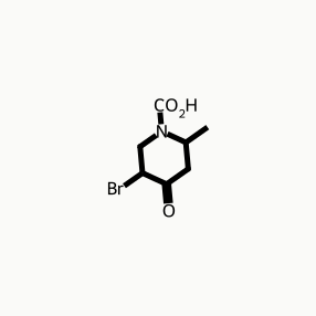 CC1CC(=O)C(Br)CN1C(=O)O